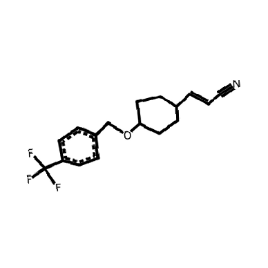 N#CC=CC1CCC(OCc2ccc(C(F)(F)F)cc2)CC1